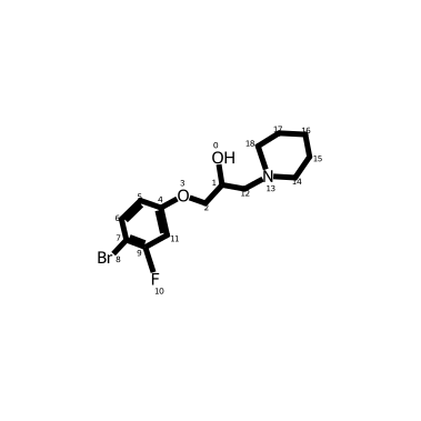 OC(COc1ccc(Br)c(F)c1)CN1CCCCC1